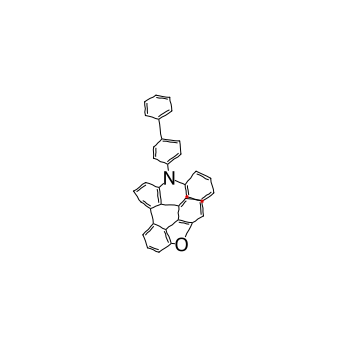 c1ccc(-c2ccc(N(c3ccccc3)c3cccc4c5cccc6oc7cccc(c34)c7c65)cc2)cc1